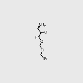 C=CC(=O)NOCOCC(C)C